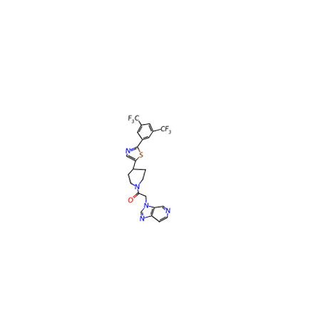 O=C(Cn1cnc2ccncc21)N1CCC(c2cnc(-c3cc(C(F)(F)F)cc(C(F)(F)F)c3)s2)CC1